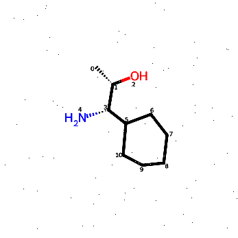 C[C@H](O)[C@@H](N)C1CCCCC1